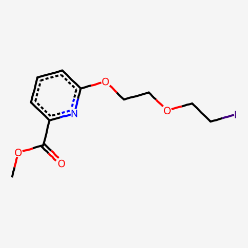 COC(=O)c1cccc(OCCOCCI)n1